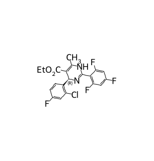 CCOC(=O)C1=C(C)NC(c2c(F)cc(F)cc2F)=N[C@H]1c1ccc(F)cc1Cl